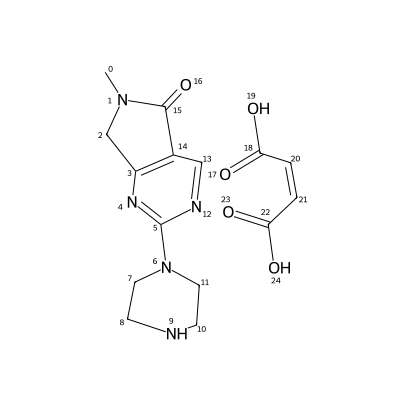 CN1Cc2nc(N3CCNCC3)ncc2C1=O.O=C(O)/C=C\C(=O)O